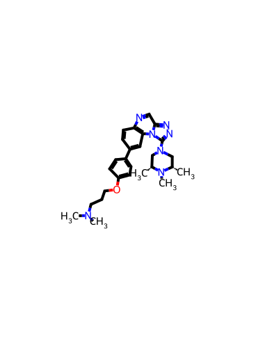 C[C@@H]1CN(c2nnc3cnc4ccc(-c5ccc(OCCCN(C)C)cc5)cc4n23)C[C@H](C)N1C